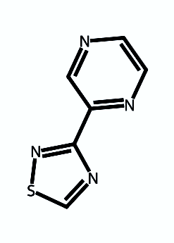 c1cnc(-c2ncsn2)cn1